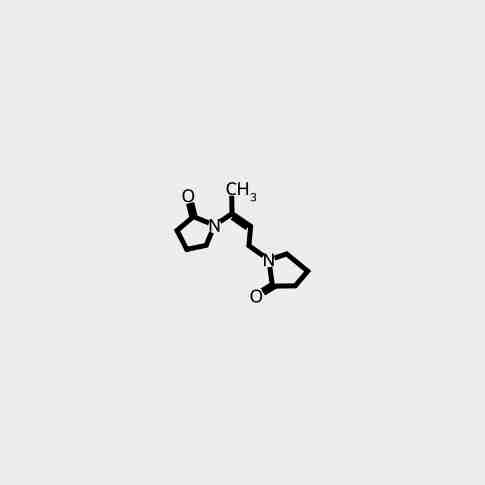 CC(=CCN1CCCC1=O)N1CCCC1=O